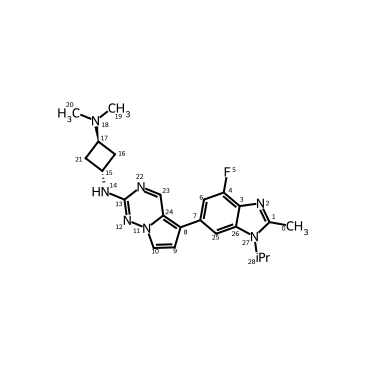 Cc1nc2c(F)cc(-c3ccn4nc(N[C@H]5C[C@H](N(C)C)C5)ncc34)cc2n1C(C)C